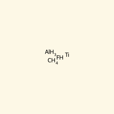 C.F.[AlH3].[Ti]